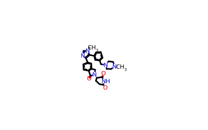 CN1CCN(Cc2cccc(-c3c(-c4ccc5c(c4)CN([C@H]4CCC(=O)NC4=O)C5=O)ncn3C)c2)CC1